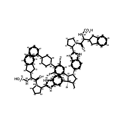 CC1C[C@H](c2ccc3[nH]c(C4CCCN4C(=O)C(NC(=O)O)C4Cc5ccccc5C4)nc3c2)N(c2cc(F)c(N3CCC(c4ccccc4)CC3)c(F)c2)[C@]1(C)c1ccc2[nH]c(C3CCCN3C(=O)[C@@H](NC(=O)O)C3Cc4ccccc4C3)nc2c1